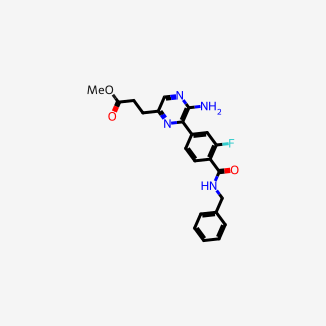 COC(=O)CCc1cnc(N)c(-c2ccc(C(=O)NCc3ccccc3)c(F)c2)n1